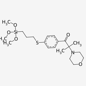 CO[Si](CCCSc1ccc(C(=O)C(C)(C)N2CCOCC2)cc1)(OC)OC